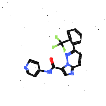 O=C(Nc1ccncc1)c1cnc2ccc(-c3ccccc3C(F)(F)F)nn12